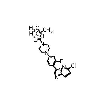 CC(C)(C)OC(=O)N1CCN(c2ccc(-c3cnc4ccc(Cl)nn34)c(F)c2)CC1